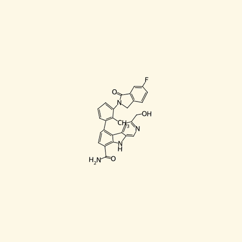 Cc1c(-c2ccc(C(N)=O)c3[nH]c4cnc(CO)cc4c23)cccc1N1Cc2ccc(F)cc2C1=O